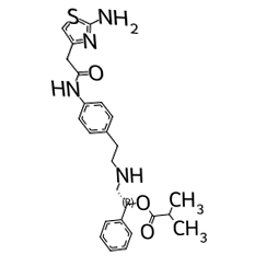 CC(C)C(=O)O[C@@H](CNCCc1ccc(NC(=O)Cc2csc(N)n2)cc1)c1ccccc1